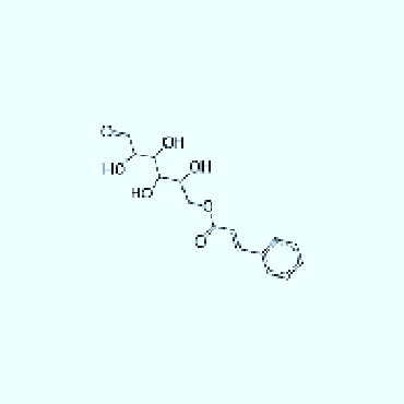 O=CC(O)C(O)C(O)C(O)COC(=O)C=Cc1ccccc1